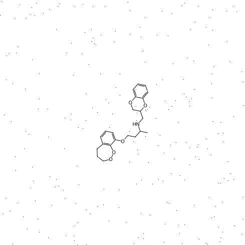 CC(CCOc1cccc2c1OOCCC2)NCC1COc2ccccc2O1